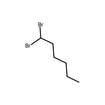 CCCCCC(Br)Br